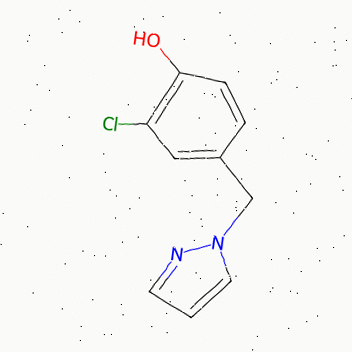 Oc1ccc(Cn2cccn2)cc1Cl